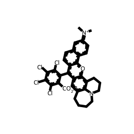 C[N+](C)=c1ccc2c(ccc3c(-c4c(Cl)c(Cl)c(Cl)c(Cl)c4C(=O)O)c4cc5c6c(c4oc32)CCCN6CCCC5)c1